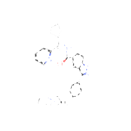 CN1C2CCC1CC(Oc1ccc(-c3n[nH]c4ccc(C(=O)N[C@H](c5ccccn5)C5CCCC5)cc34)cc1)C2